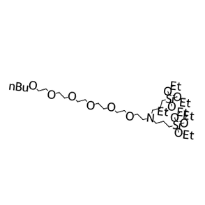 CCCCOCCOCCOCCOCCOCCOCCN(CCC[Si](OCC)(OCC)OCC)CCC[Si](OCC)(OCC)OCC